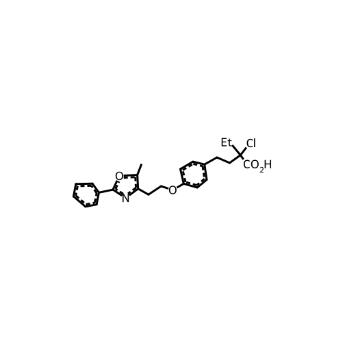 CCC(Cl)(CCc1ccc(OCCc2nc(-c3ccccc3)oc2C)cc1)C(=O)O